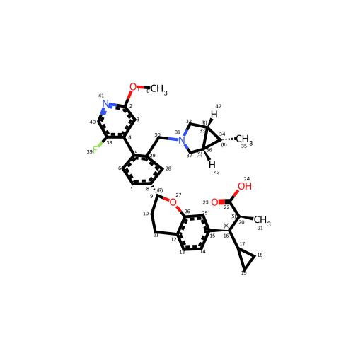 COc1cc(-c2ccc([C@H]3CCc4ccc([C@H](C5CC5)[C@H](C)C(=O)O)cc4O3)cc2CN2C[C@@H]3[C@H](C)[C@@H]3C2)c(F)cn1